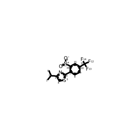 CC(C)c1csc(-c2ccc(C(F)(F)F)cc2[N+](=O)[O-])n1